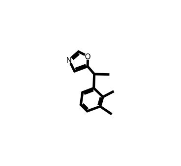 Cc1cccc(C(C)c2cnco2)c1C